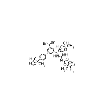 CC(C)(C)OC(=O)/N=C(/NCc1cc(-c2ccc(C(C)(C)C)cc2)cc(C(Br)Br)c1)NC(=O)OC(C)(C)C